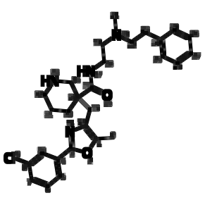 Cc1oc(-c2cccc(Cl)c2)nc1CC1(C(=O)NCCN(C)CCc2ccccc2)CCCNC1